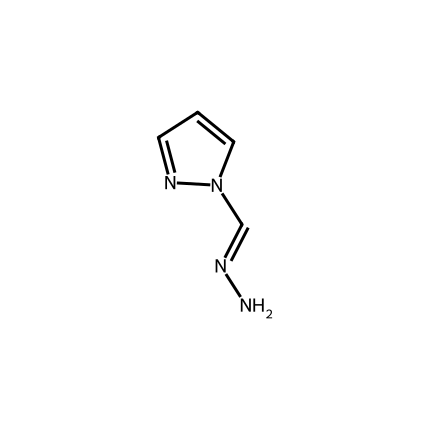 NN=Cn1cccn1